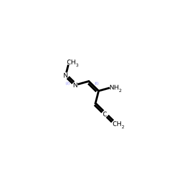 C=C=C/C(N)=C\N=N/C